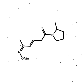 CO/N=C(C)\C=C\CC(=O)N1CCCC1C